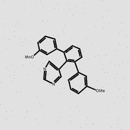 COc1cccc(-c2cccc(-c3cccc(OC)c3)c2-c2cncnc2)c1